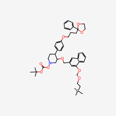 CC(C)(C)OC(=O)ON1CCC(c2ccc(OCCCC3(c4ccccc4)OCCO3)cc2)C(OCc2cc(OCOCC[Si](C)(C)C)c3ccccc3c2)C1